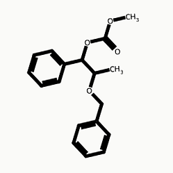 COC(=O)OC(c1ccccc1)C(C)OCc1ccccc1